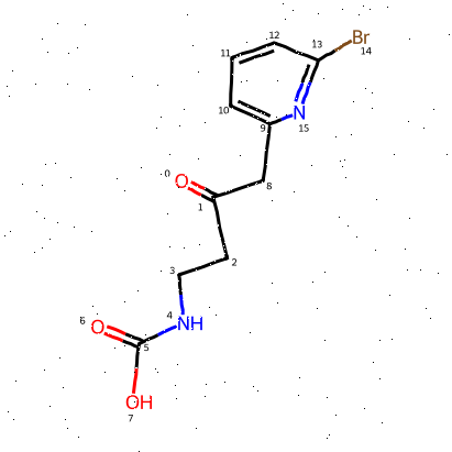 O=C(CCNC(=O)O)Cc1cccc(Br)n1